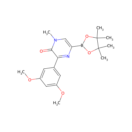 COc1cc(OC)cc(-c2nc(B3OC(C)(C)C(C)(C)O3)cn(C)c2=O)c1